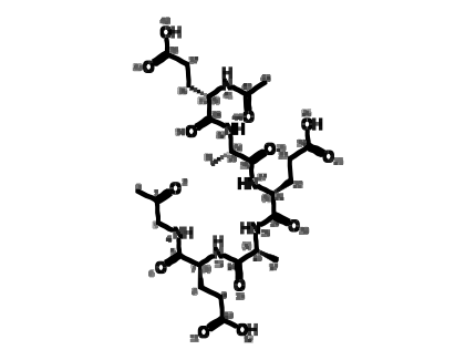 CC(=O)CNC(=O)[C@H](CCC(=O)O)NC(=O)[C@H](C)NC(=O)[C@H](CCC(=O)O)NC(=O)[C@H](C)NC(=O)[C@H](CCC(=O)O)NC(C)=O